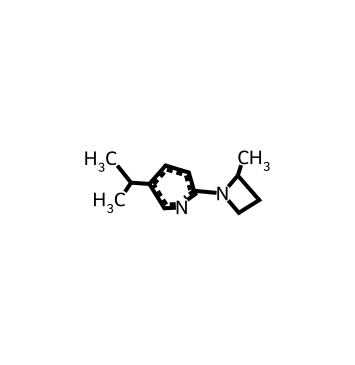 CC(C)c1ccc(N2CCC2C)nc1